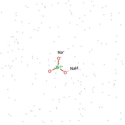 [Na+].[NaH].[O-][Br+2]([O-])[O-]